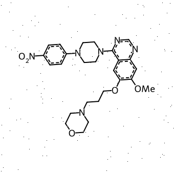 COc1cc2ncnc(N3CCN(c4ccc([N+](=O)[O-])cc4)CC3)c2cc1OCCCN1CCOCC1